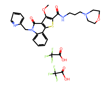 COc1c(C(=O)NCCCN2CCOCC2)sc2c1c(=O)n(Cc1ccccn1)c1ccccc21.O=C(O)C(F)(F)F.O=C(O)C(F)(F)F